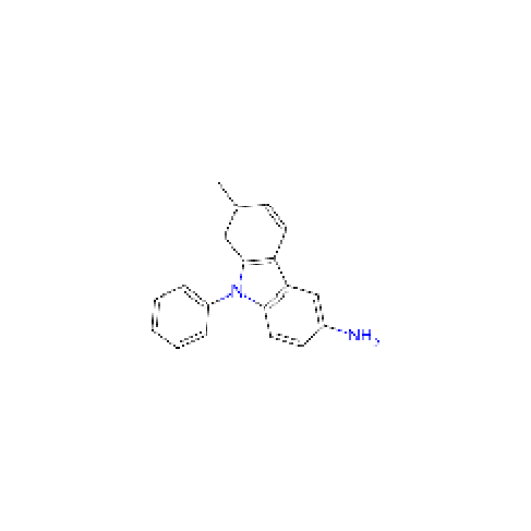 CC1C=Cc2c(n(-c3ccccc3)c3ccc(N)cc23)C1